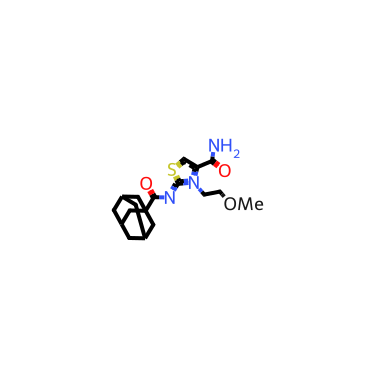 COCCn1c(C(N)=O)cs/c1=N\C(=O)C12CC3CC(CC(C3)C1)C2